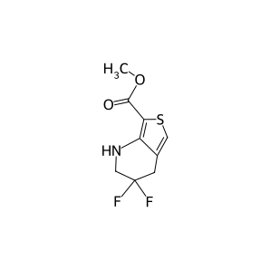 COC(=O)c1scc2c1NCC(F)(F)C2